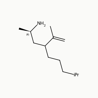 C=C(C)C(CCCC(C)C)C[C@@H](C)N